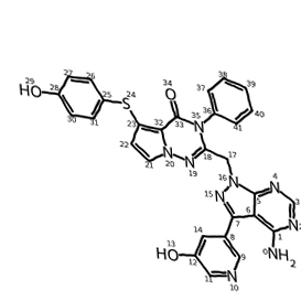 Nc1ncnc2c1c(-c1cncc(O)c1)nn2Cc1nn2ccc(Sc3ccc(O)cc3)c2c(=O)n1-c1ccccc1